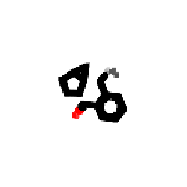 C1CC2CC2C1.CCc1ccccc1C=O